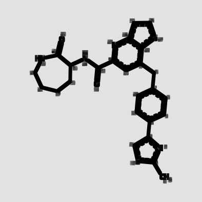 Cc1nc(-c2ccc(Cc3cc(C(=O)NC4CCCCNC4=O)nc4ccsc34)cc2)cs1